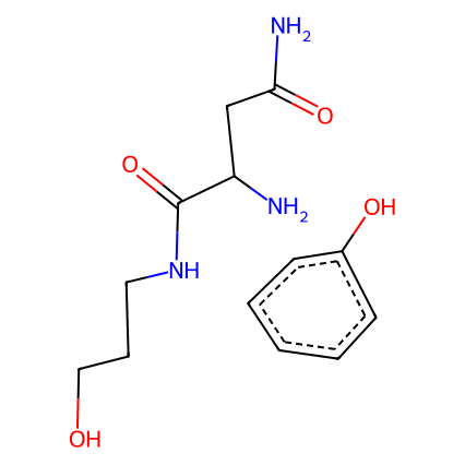 NC(=O)CC(N)C(=O)NCCCO.Oc1ccccc1